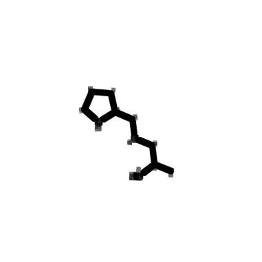 CC(O)COCC1CCCO1